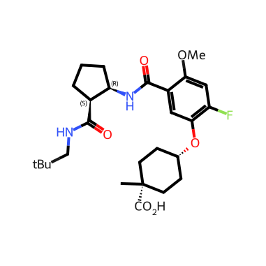 COc1cc(F)c(O[C@H]2CC[C@@](C)(C(=O)O)CC2)cc1C(=O)N[C@@H]1CCC[C@@H]1C(=O)NCC(C)(C)C